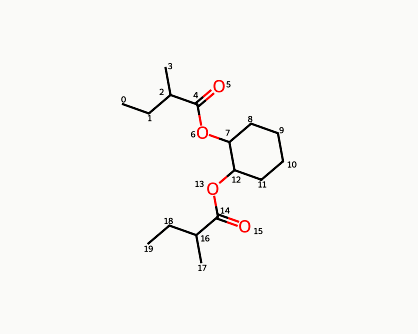 CCC(C)C(=O)OC1CCCCC1OC(=O)C(C)CC